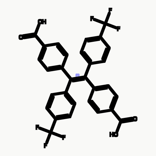 O=C(O)c1ccc(/C(=C(/c2ccc(C(=O)O)cc2)c2ccc(C(F)(F)F)cc2)c2ccc(C(F)(F)F)cc2)cc1